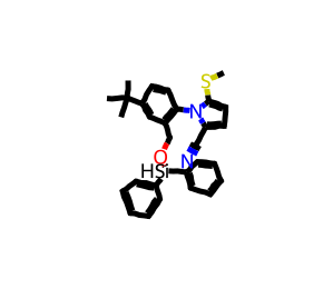 CSc1ccc(C#N)n1-c1ccc(C(C)(C)C)cc1CO[SiH](c1ccccc1)c1ccccc1